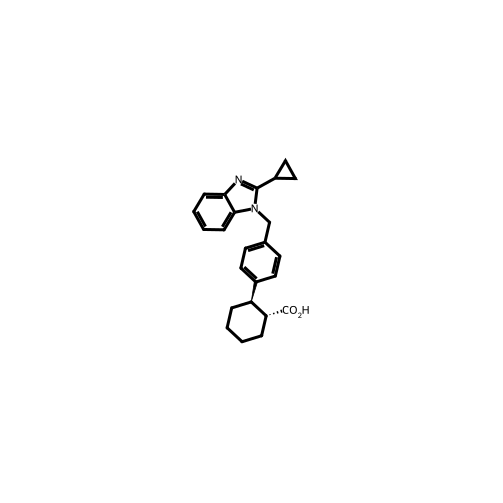 O=C(O)[C@@H]1CCCC[C@H]1c1ccc(Cn2c(C3CC3)nc3ccccc32)cc1